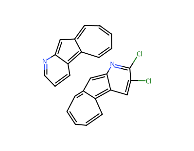 Clc1cc2c3cccccc-3cc2nc1Cl.c1ccc2cc3ncccc3c-2cc1